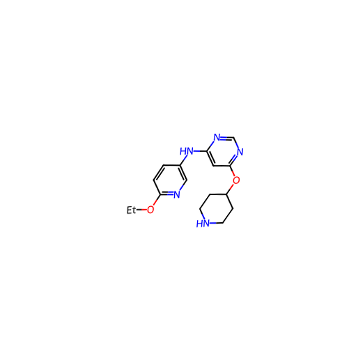 CCOc1ccc(Nc2cc(OC3CCNCC3)ncn2)cn1